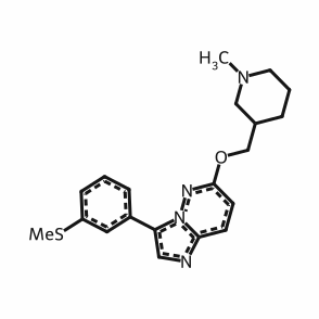 CSc1cccc(-c2cnc3ccc(OCC4CCCN(C)C4)nn23)c1